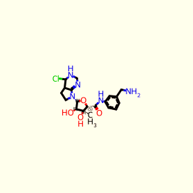 C[C@@]1(O)[C@@H](C(=O)Nc2cccc(CN)c2)O[C@@H](N2CCC3C2=NCNC3Cl)[C@@H]1O